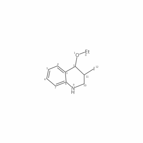 CCOC1c2ccccc2NCC1I